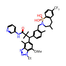 CCn1nnc2c(C)c(C(c3ccc(C)c(CN4CC(C)Cc5cc(C(F)(F)F)ccc5S4(O)O)c3)C(C)(C)C(=O)Nc3cccnc3)cc(OC)c21